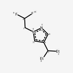 CCC(CC)c1cnn(CC(F)F)c1